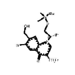 CCOC(=O)c1cn([C@H](CO[Si](C)(C)C(C)(C)C)C(C)C)c2cc(CO)c(Br)cc2c1=O